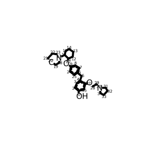 Oc1c[c]c(Cc2ccc(OC3CCCCC3N3CCCCCC3)cc2)c(OCCN2CCCC2)c1